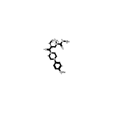 COc1ccc(N2CCN(C(=O)[C@@H](CC(C)C)CN(C)C(=O)OC(C)(C)C)CC2)cc1